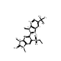 CCS(=O)(=O)c1cc2c(nc1-c1nc3cc(C(F)(F)F)cnc3n1C)n(C)c(=O)n2C